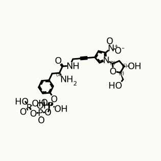 N[C@@H](Cc1cccc(OP(=O)(O)OP(=O)(O)OP(=O)(O)O)c1)C(=O)NCC#Cc1cc([N+](=O)[O-])n([C@H]2C[C@H](O)[C@@H](CO)O2)c1